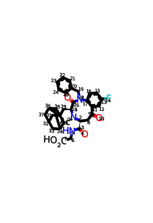 CC(=O)N1[C@@H](C(=O)NCC(=O)O)CC(=O)c2cc(F)ccc2N(Cc2ccccc2)C(=O)[C@@H]1CC12CC3CC(CC(C3)C1)C2